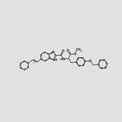 COC(=O)C(Cc1ccc(OCc2ccccc2)cc1)NC(=O)c1nc2ccc(/C=C/c3ccccc3)cc2[nH]1